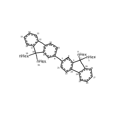 CCCCCCC1(CCCCCC)c2[c]c(-c3[c]c4c(cc3)-c3ccccc3C4(CCCCCC)CCCCCC)ccc2-c2ccccc21